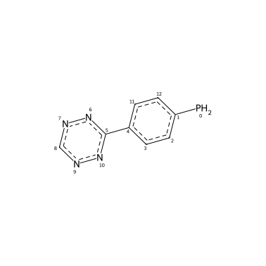 Pc1ccc(-c2nncnn2)cc1